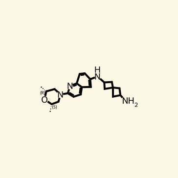 C[C@@H]1CN(c2ccc3cc(NC4CC5(CC(N)C5)C4)ccc3n2)C[C@H](C)O1